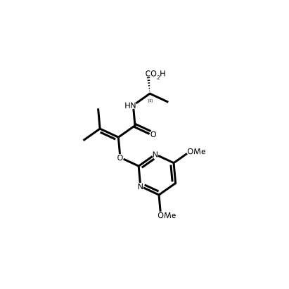 COc1cc(OC)nc(OC(C(=O)N[C@@H](C)C(=O)O)=C(C)C)n1